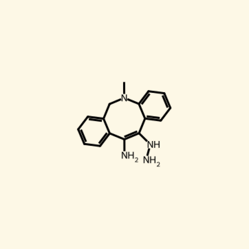 CN1Cc2ccccc2/C(N)=C(/NN)c2ccccc21